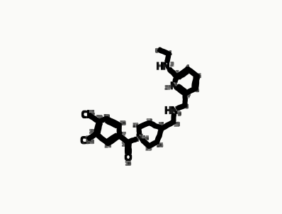 CCNc1cccc(CNCC2CCN(C(=O)c3ccc(Cl)c(Cl)c3)CC2)n1